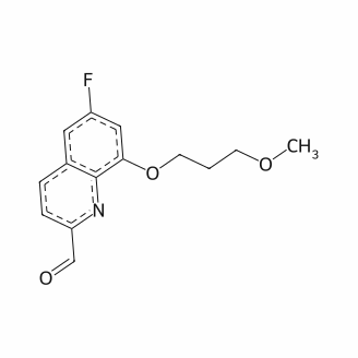 COCCCOc1cc(F)cc2ccc(C=O)nc12